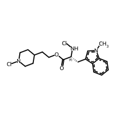 Cn1cc(C[C@@H](NCl)C(=O)OCCC2CCN(Cl)CC2)c2ccccc21